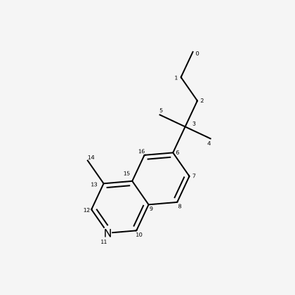 CCCC(C)(C)c1ccc2cncc(C)c2c1